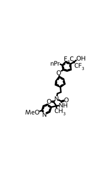 CCCc1cc(C(O)(C(F)(F)F)C(F)(F)F)ccc1Oc1ccc(CCN2C(=O)NC(C)(c3ccc(OC)nc3)C2=O)cc1